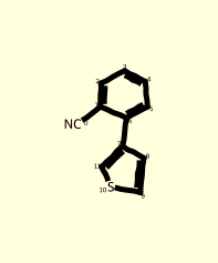 N#Cc1ccccc1-c1ccsc1